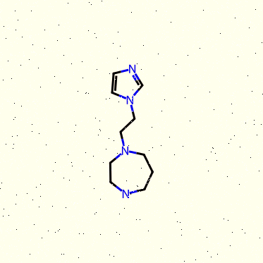 c1cn(CCN2CCC[N]CC2)cn1